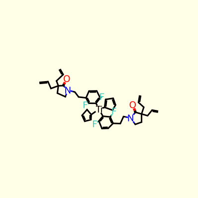 C=CCC1(CC=C)CCN(CCc2ccc(F)[c]([Ti]([C]3=CC=CC3)([C]3=CC=CC3)[c]3c(F)ccc(CCN4CCC(CC=C)(CC=C)C4=O)c3F)c2F)C1=O